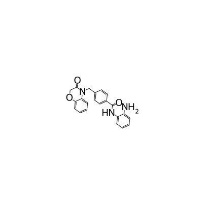 Nc1ccccc1NC(=O)c1ccc(CN2C(=O)COc3ccccc32)cc1